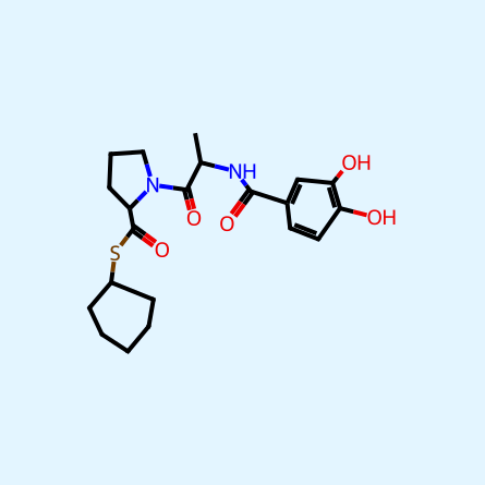 CC(NC(=O)c1ccc(O)c(O)c1)C(=O)N1CCCC1C(=O)SC1CCCCC1